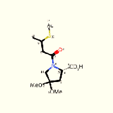 COC1(OC)C[C@@H](C(=O)O)N(C(=O)CC(C)SC(C)=O)C1